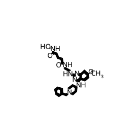 COc1ccc2c(NC3CCN(Cc4ccccc4)CC3)nc(NCCNC(=O)CCCC(=O)NO)nc2c1